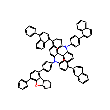 c1ccc(-c2ccc(-c3ccc(N(c4ccc(-c5cccc6ccccc56)cc4)c4ccccc4-c4ccccc4N(c4ccc(-c5ccc6ccccc6c5)cc4)c4ccc(-c5ccc(-c6ccccc6)c6oc7ccccc7c56)cc4)cc3)c3ccccc23)cc1